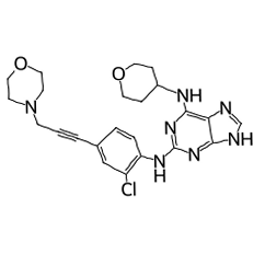 Clc1cc(C#CCN2CCOCC2)ccc1Nc1nc(NC2CCOCC2)c2nc[nH]c2n1